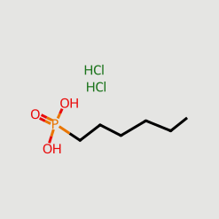 CCCCCCP(=O)(O)O.Cl.Cl